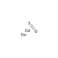 O=S.[Gd].[Tm]